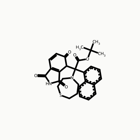 CC(C)(C)OC(=O)C(c1cccc2ccccc12)(C1C(=O)C=CC2=C1C(=O)NC2=O)N1CCCSCC1